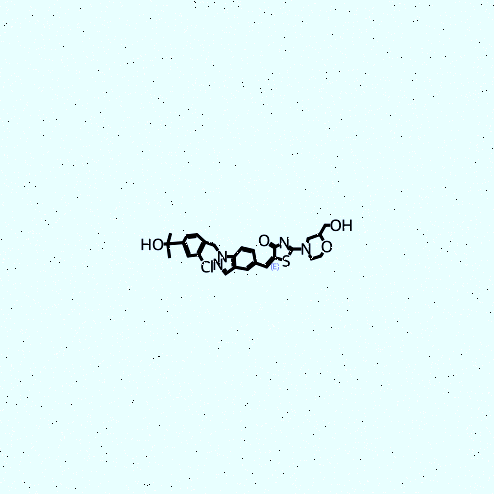 CC(C)(O)c1ccc(Cn2ncc3cc(/C=C4/SC(N5CCOC(CO)C5)=NC4=O)ccc32)c(Cl)c1